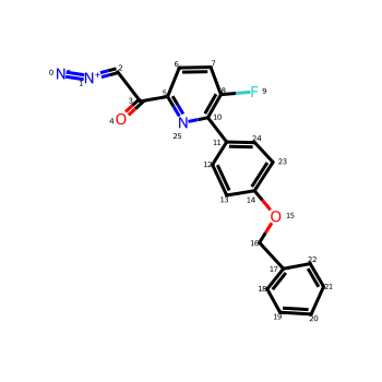 [N-]=[N+]=CC(=O)c1ccc(F)c(-c2ccc(OCc3ccccc3)cc2)n1